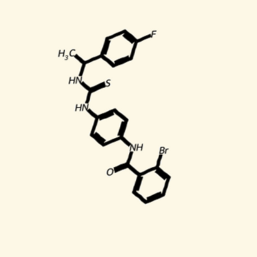 CC(NC(=S)Nc1ccc(NC(=O)c2ccccc2Br)cc1)c1ccc(F)cc1